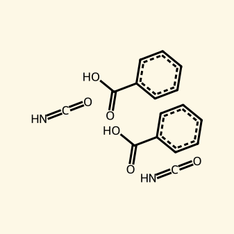 N=C=O.N=C=O.O=C(O)c1ccccc1.O=C(O)c1ccccc1